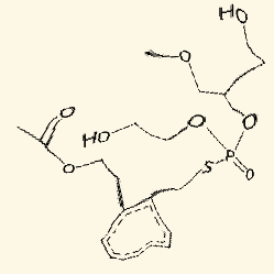 COCC(CO)OP(=O)(OCCO)SCc1ccccc1COC(C)=O